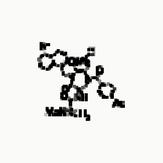 CN[C@@H](C)C(=O)N[C@H]1CN(C(=O)c2ccc(C(C)=O)cc2)c2cc(Cl)ccc2N(Cc2c(OC)ccc3c(Br)cccc23)C1=O